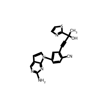 CC(O)(C#Cc1cc(-n2ccc3cnc(N)nc32)ccc1C#N)c1nccs1